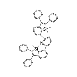 C[Si]1(C)C(c2ccccc2)=C(c2ccccc2)c2cccc(-c3cccc(-c4cccc5c4[Si](C)(C)C(c4ccccc4)=C5c4ccccc4)n3)c21